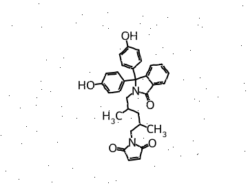 CC(CC(C)CN1C(=O)c2ccccc2C1(c1ccc(O)cc1)c1ccc(O)cc1)CN1C(=O)C=CC1=O